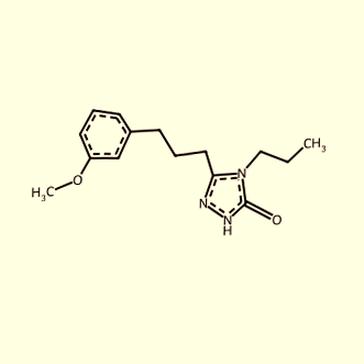 CCCn1c(CCCc2cccc(OC)c2)n[nH]c1=O